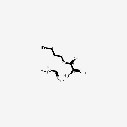 C=C(C)C(=O)OCCCC(C)C.C=CC(=O)O